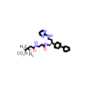 CC(C)(CC(=O)O)CC(=O)NCCC(=O)NC[C@@H](CCNc1ncccn1)c1ccc(-c2ccccc2)cc1